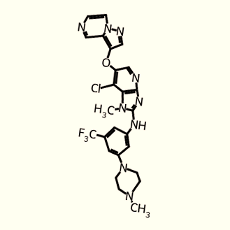 CN1CCN(c2cc(Nc3nc4ncc(Oc5cnn6ccncc56)c(Cl)c4n3C)cc(C(F)(F)F)c2)CC1